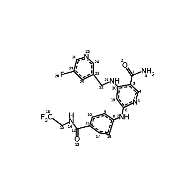 NC(=O)c1cnc(Nc2ccc(C(=O)NCC(F)(F)F)cc2)cc1NCc1cncc(F)c1